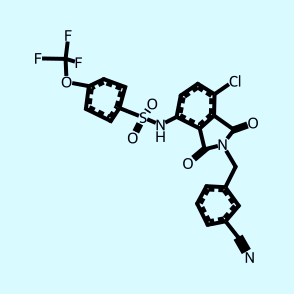 N#Cc1cccc(CN2C(=O)c3c(Cl)ccc(NS(=O)(=O)c4ccc(OC(F)(F)F)cc4)c3C2=O)c1